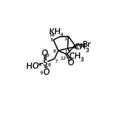 CC1(C)C2CCC1(CS(=O)(=O)O)C(=O)C2Br.[KH]